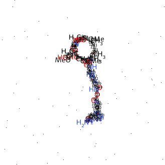 CO[C@H]1C[C@@H]2CC[C@@H](C)[C@@](O)(O2)C(=O)C(=O)N2CCCC[C@H]2C(=O)O[C@H]([C@H](C)C[C@@H]2CC[C@@H](O)[C@H](OC)C2)C[C@@H](O)[C@H](C)/C=C(\C)[C@@H](O)[C@@H](OC)C(=NOCC(=O)NCc2cnc(N3CCC(N4CCC(C(=O)NCCOCCC(=O)N5CCc6cc(Cn7nc(-c8ccc9oc(N)nc9c8)c8c(N)ncnc87)ccc6C5)CC4)CC3)nc2)[C@H](C)C[C@H](C)/C=C/C=C/C=C/1C